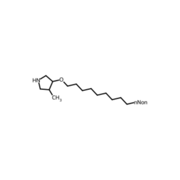 CCCCCCCCCCCCCCCCCCOC1CNCC1C